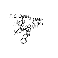 COC[C@@H](NC(=O)N[C@H](C(=O)N1CC2C([C@H]1C(=O)NC(CCC(F)(F)F)C(=O)C(N)=O)C2(C)C)C1Cc2ccccc2C1)C(C)(C)C